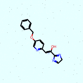 O/C(=C\c1ccc(OCc2ccccc2)cn1)C1=NCC=N1